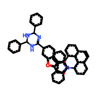 c1c2cccc(-c3cccc4oc5cc(C6=NC(c7ccccc7)NC(c7ccccc7)N6)ccc5c34)c2c2c(-n3c4ccccc4c4ccccc43)cccc2c#1